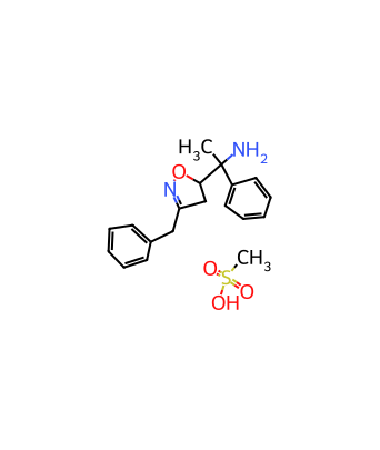 CC(N)(c1ccccc1)C1CC(Cc2ccccc2)=NO1.CS(=O)(=O)O